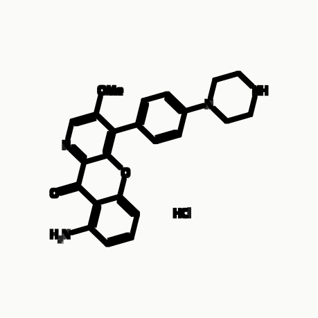 COc1cnc2c(=O)c3c(N)cccc3oc2c1-c1ccc(N2CCNCC2)cc1.Cl